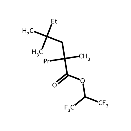 CCC(C)(C)CC(C)(C(=O)OC(C(F)(F)F)C(F)(F)F)C(C)C